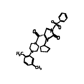 Cc1ccc(C)c(N2CCN(C(=O)[C@@H]3CN(S(=O)(=O)c4ccccc4)C(=O)N3C3CCCC3)CC2)c1